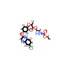 CCOC(=O)NCCOC(=O)C(C)Oc1ccc(Oc2cnc3cc(Cl)ccc3n2)cc1